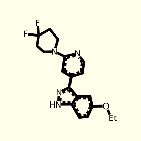 CCOc1ccc2[nH]nc(-c3ccnc(N4CCC(F)(F)CC4)c3)c2c1